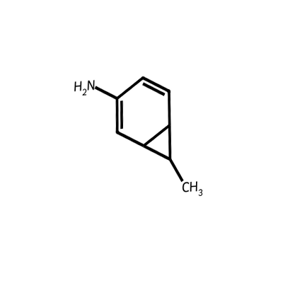 CC1C2C=CC(N)=CC12